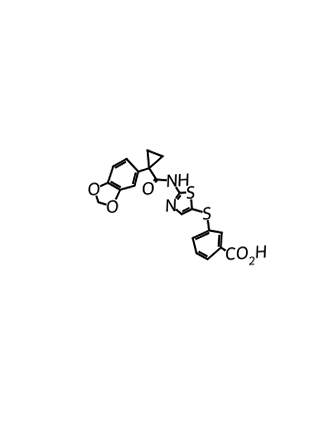 O=C(O)c1cccc(Sc2cnc(NC(=O)C3(c4ccc5c(c4)OCO5)CC3)s2)c1